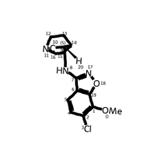 COc1c(Cl)ccc2c(N[C@@H]3CN4CCC3CC4)noc12